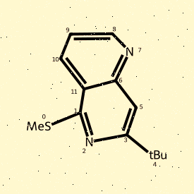 CSc1nc(C(C)(C)C)cc2ncccc12